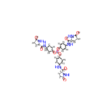 O=C1CC[C@@H](C(=O)Nc2ccc(OP(Oc3ccc(NC(=O)[C@@H]4CCC(=O)N4)cc3)Oc3ccc(NC(=O)[C@@H]4CCC(=O)N4)cc3)cc2)N1